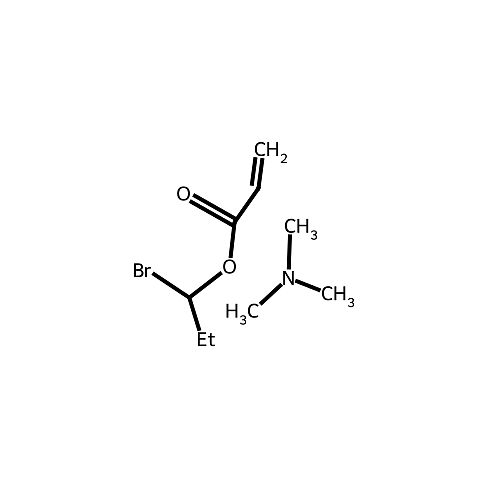 C=CC(=O)OC(Br)CC.CN(C)C